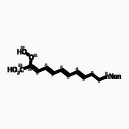 CCCCCCCCCCCC=CC=CC=CC=C(OO)C(=O)O